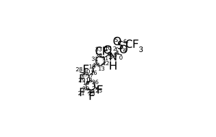 CC(CS(=O)(=O)CC(F)(F)F)NC(=O)c1ccc(/C=C/C(c2cc(F)c(F)c(F)c2)C(C)(F)F)cc1C(F)(F)F